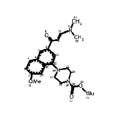 COc1ccc2cc(C(=O)C=CN(C)C)cc(N3CCN(C(=O)OC(C)(C)C)CC3)c2c1